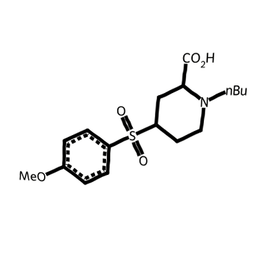 CCCCN1CCC(S(=O)(=O)c2ccc(OC)cc2)CC1C(=O)O